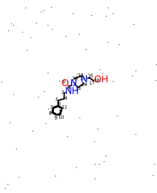 O=C(N[CH]CCc1ccccc1)N1CCN(CCO)CC1